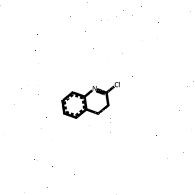 ClC1=Nc2ccccc2CC1